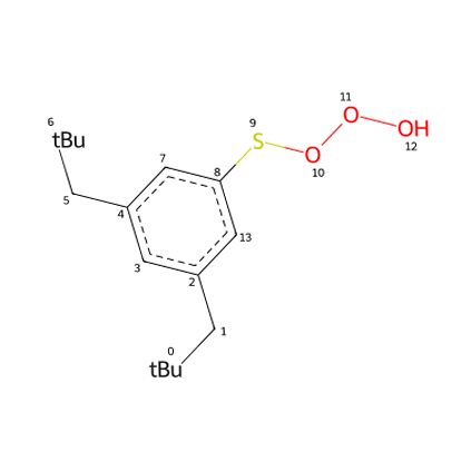 CC(C)(C)Cc1cc(CC(C)(C)C)cc(SOOO)c1